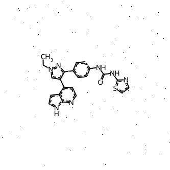 CCn1cc(-c2ccnc3[nH]ccc23)c(-c2ccc(NC(=O)Nc3nccs3)cc2)n1